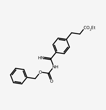 CCOC(=O)CCc1ccc(C(=N)NC(=O)OCc2ccccc2)cc1